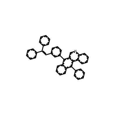 C(=C(c1ccccc1)c1ccccc1)c1cccc(-c2c3ccccc3c(-c3ccccc3)c3c2cnc2ccccc23)c1